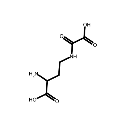 NC(CCNC(=O)C(=O)O)C(=O)O